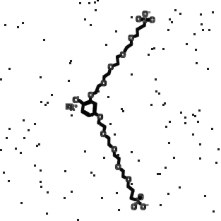 O=S(=O)([O-])CCCOCCOCCOCCOCCOc1ccc(Cl)c(OCCOCCOCCOCCOCCCS(=O)(=O)[O-])c1.[K+].[K+]